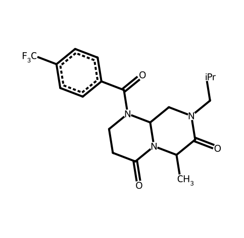 CC(C)CN1CC2N(C(=O)c3ccc(C(F)(F)F)cc3)CCC(=O)N2C(C)C1=O